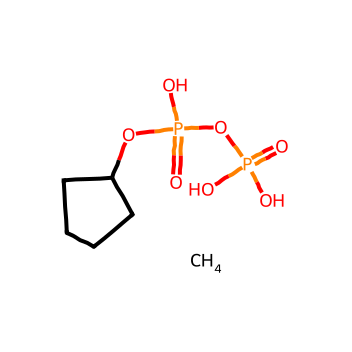 C.O=P(O)(O)OP(=O)(O)OC1CCCC1